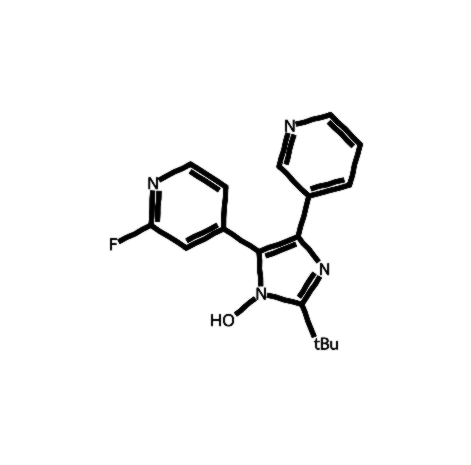 CC(C)(C)c1nc(-c2cccnc2)c(-c2ccnc(F)c2)n1O